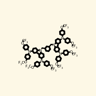 FC(F)(F)Oc1ccc(N(c2ccc(OC(F)(F)F)cc2)c2ccc3c(c2)c2cc(N(c4ccc(OC(F)(F)F)cc4)c4ccc(OC(F)(F)F)cc4)ccc2n3Cc2cccc(Cn3c4ccc(N(c5ccc(OC(F)(F)F)cc5)c5ccc(OC(F)(F)F)cc5)cc4c4cc(N(c5ccc(OC(F)(F)F)cc5)c5ccc(OC(F)(F)F)cc5)ccc43)c2)cc1